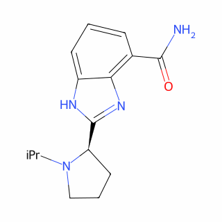 CC(C)N1CCC[C@@H]1c1nc2c(C(N)=O)cccc2[nH]1